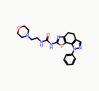 O=C(NCCN1CCOCC1)Nc1nc2c(s1)-c1c(cnn1-c1ccccc1)CC2